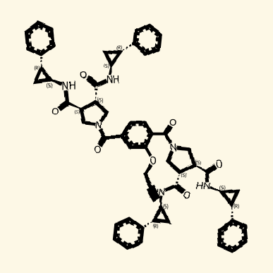 C#CCOc1cc(C(=O)N2C[C@@H](C(=O)N[C@H]3C[C@@H]3c3ccccc3)[C@H](C(=O)N[C@H]3C[C@@H]3c3ccccc3)C2)ccc1C(=O)N1C[C@@H](C(=O)N[C@H]2C[C@@H]2c2ccccc2)[C@H](C(=O)N[C@H]2C[C@@H]2c2ccccc2)C1